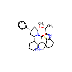 COC(C)c1nc2c(s1)[C@]1(CCC2)CNC[C@H]1C(=O)N1CC[C@@H](c2ccccc2)C[C@H]1C1CCCCC1